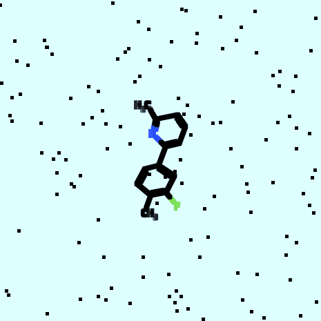 Cc1cccc(-c2ccc(C)c(F)c2)n1